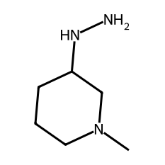 CN1CCCC(NN)C1